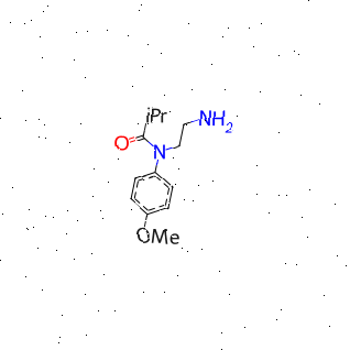 COc1ccc(N(CCN)C(=O)C(C)C)cc1